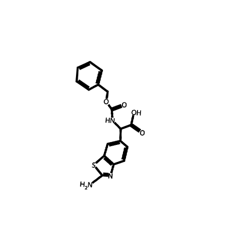 Nc1nc2ccc(C(NC(=O)OCc3ccccc3)C(=O)O)cc2s1